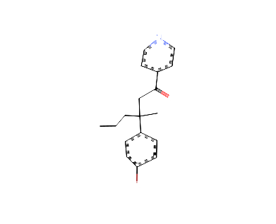 CCCC(C)(CC(=O)c1ccncc1)c1ccc(Br)cc1